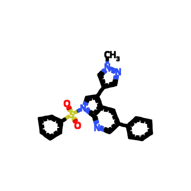 Cn1cc(-c2cn(S(=O)(=O)c3ccccc3)c3ncc(-c4ccccc4)cc23)cn1